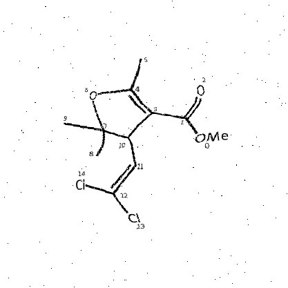 COC(=O)C1=C(C)OC(C)(C)C1C=C(Cl)Cl